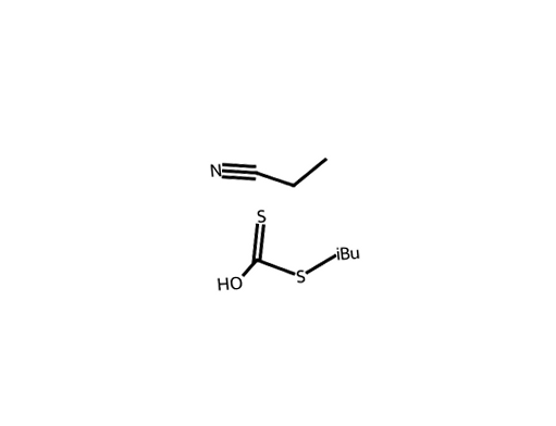 CCC#N.CCC(C)SC(O)=S